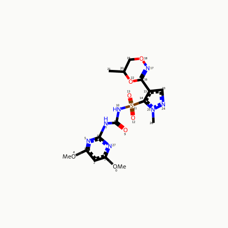 COc1cc(OC)nc(NC(=O)NS(=O)(=O)c2c(C3=NOCC(C)O3)cnn2C)n1